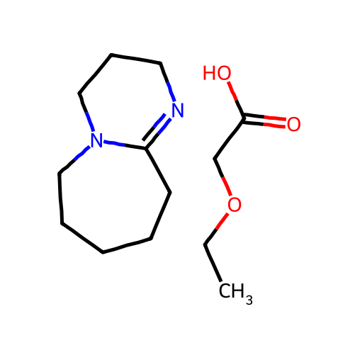 C1CCC2=NCCCN2CC1.CCOCC(=O)O